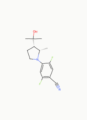 C[C@H]1[C@@H](C(C)(C)O)CCN1c1cc(F)c(C#N)cc1F